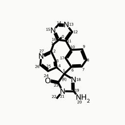 CCc1cc([C@@]2(c3cccc(-c4cncnc4)c3)N=C(N)N(C)C2=O)ccn1